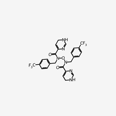 O=C(C1=CCNC=N1)N(Cc1ccc(C(F)(F)F)cc1)ON(Cc1ccc(C(F)(F)F)cc1)C(=O)C1=CCNC=N1